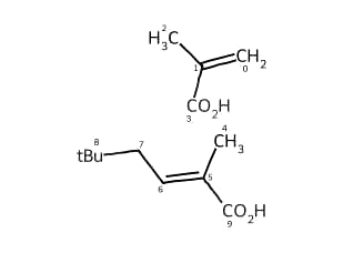 C=C(C)C(=O)O.CC(=CCC(C)(C)C)C(=O)O